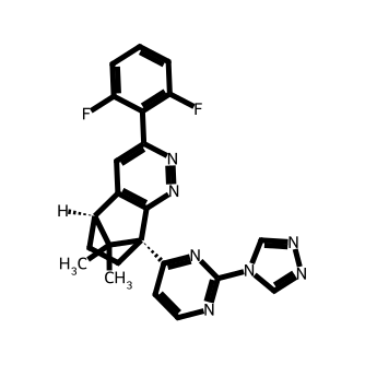 CC1(C)[C@H]2CC[C@]1(c1ccnc(-n3cnnc3)n1)c1nnc(-c3c(F)cccc3F)cc12